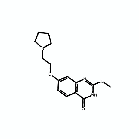 COc1nc2cc(OCCN3CCCC3)ccc2c(=O)[nH]1